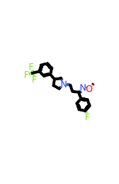 CON=C(CCN1CCC(c2cccc(C(F)(F)F)c2)C1)c1ccc(F)cc1